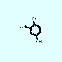 CCc1ccc(C)cc1[N+](=O)[O-]